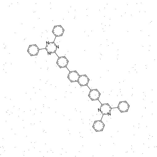 c1ccc(-c2cc(-c3ccc(-c4ccc5cc(-c6ccc(-c7nc(-c8ccccc8)nc(-c8ccccc8)n7)cc6)ccc5c4)cc3)nc(-c3ccccc3)n2)cc1